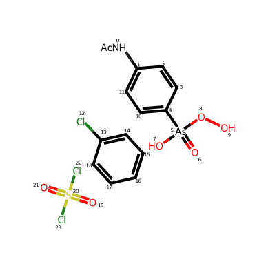 CC(=O)Nc1ccc([As](=O)(O)OO)cc1.Clc1ccccc1.O=S(=O)(Cl)Cl